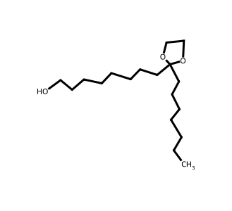 CCCCCCCC1(CCCCCCCCO)OCCO1